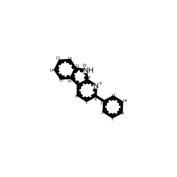 c1ccc(-c2ccc3c(n2)[nH]c2ccccc23)cc1